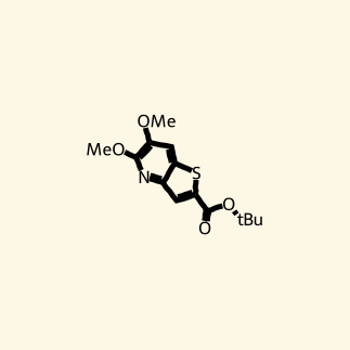 COc1cc2sc(C(=O)OC(C)(C)C)cc2nc1OC